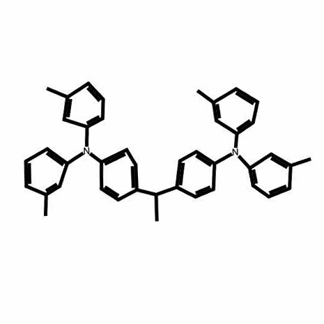 Cc1cccc(N(c2ccc(C(C)c3ccc(N(c4cccc(C)c4)c4cccc(C)c4)cc3)cc2)c2cccc(C)c2)c1